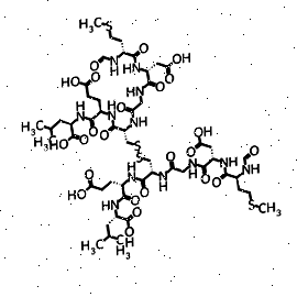 CSCC[C@H](NC=O)C(=O)N[C@@H](CC(=O)O)C(=O)NCC(=O)N[C@@H](CSSC[C@@H](NC(=O)CNC(=O)[C@@H](CC(=O)O)NC(=O)[C@@H](CCSC)NC=O)C(=O)N[C@H](CCC(=O)O)C(=O)N[C@H](CC(C)C)C(=O)O)C(=O)N[C@@H](CCC(=O)O)C(=O)N[C@@H](CC(C)C)C(=O)O